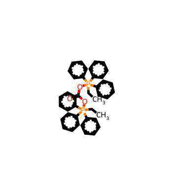 CCP(OC(=O)OP(CC)(c1ccccc1)(c1ccccc1)c1ccccc1)(c1ccccc1)(c1ccccc1)c1ccccc1